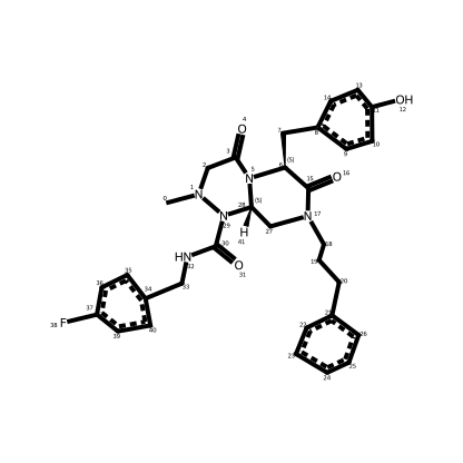 CN1CC(=O)N2[C@@H](Cc3ccc(O)cc3)C(=O)N(CCCc3ccccc3)C[C@@H]2N1C(=O)NCc1ccc(F)cc1